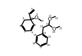 C=CC1(OC)C=CC=CC1.COC(Cc1ccccc1)OC